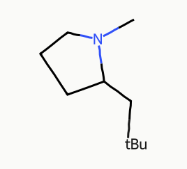 CN1CCCC1CC(C)(C)C